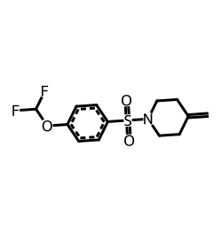 C=C1CCN(S(=O)(=O)c2ccc(OC(F)F)cc2)CC1